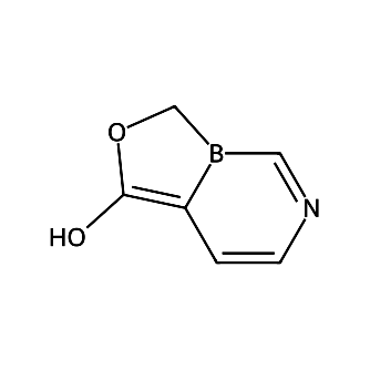 OC1=C2C=CN=CB2CO1